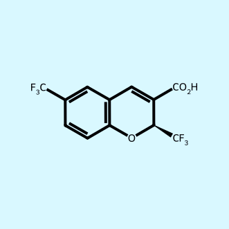 O=C(O)C1=Cc2cc(C(F)(F)F)ccc2O[C@@H]1C(F)(F)F